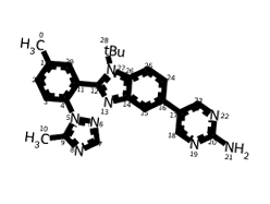 Cc1ccc(-n2ncnc2C)c(-c2nc3cc(-c4cnc(N)nc4)ccc3n2C(C)(C)C)c1